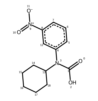 O=C(O)N(c1cccc([N+](=O)[O-])c1)C1CCCCC1